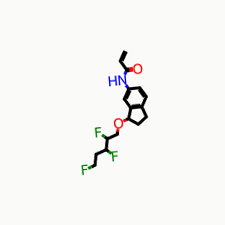 C=CC(=O)Nc1ccc2c(c1)C(OCC(F)C(F)CCF)CC2